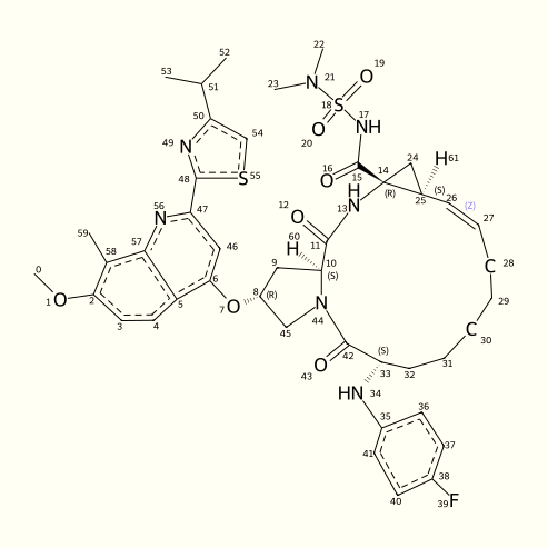 COc1ccc2c(O[C@@H]3C[C@H]4C(=O)N[C@]5(C(=O)NS(=O)(=O)N(C)C)C[C@H]5/C=C\CCCCC[C@H](Nc5ccc(F)cc5)C(=O)N4C3)cc(-c3nc(C(C)C)cs3)nc2c1C